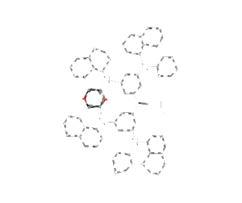 C=C(c1cc(N(c2ccccc2)c2cccc3ccccc23)cc(N(c2ccccc2)c2cccc3ccccc23)c1)c1cc(N(c2ccccc2)c2cccc3ccccc23)cc(N(c2ccccc2)c2cccc3ccccc23)c1